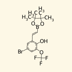 CC1(C)OB(/C=C/c2cc(Br)cc(OC(F)(F)F)c2O)OC1(C)C